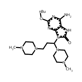 CCCCOc1nc(N)c2[nH]c(=O)n(C(CCN3CCN(C)CC3)N3CCN(C)CC3)c2n1